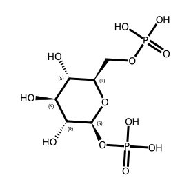 O=P(O)(O)OC[C@H]1O[C@@H](OP(=O)(O)O)[C@H](O)[C@@H](O)[C@@H]1O